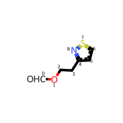 O=COCCc1ccsn1